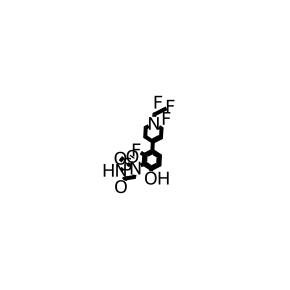 O=C1CN(c2c(O)ccc(C3=CCN(CC(F)(F)F)CC3)c2F)S(=O)(=O)N1